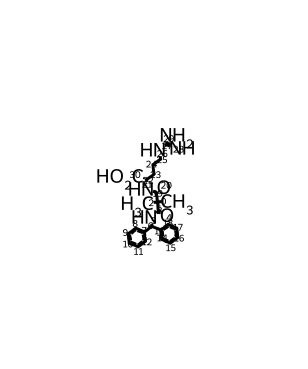 CC(C)(C(=O)NC(c1ccccc1)c1ccccc1)C(=O)N[C@@H](CCCNC(=N)N)C(=O)O